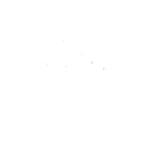 CC(C)C[C@H](NC(=O)C1(N[SH](=O)=O)CCCCC1)C(=O)C(=O)NC1CCCC1